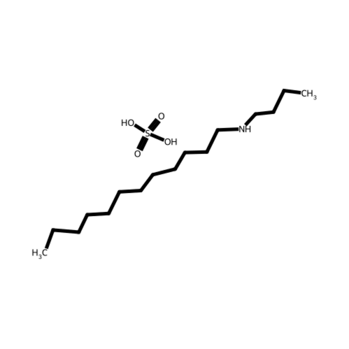 CCCCCCCCCCCCNCCCC.O=S(=O)(O)O